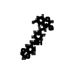 Cc1ccc2c(c1)N(CCN1CCC(NCc3cc4c(cn3)OCCO4)CC1)C(=O)CO2